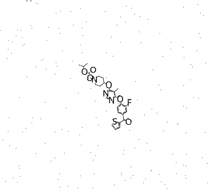 Cc1c(Oc2ccc(C(=O)c3cccs3)cc2F)ncnc1OC1CCN(OC(=O)OC(C)C)CC1